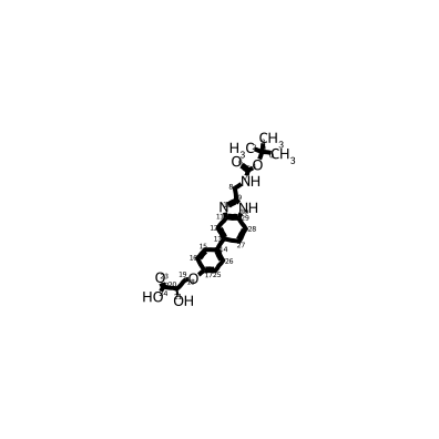 CC(C)(C)OC(=O)NCc1nc2cc(-c3ccc(OC[C@@H](O)C(=O)O)cc3)ccc2[nH]1